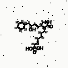 O=C1NC[C@H](/C=C/C(O)Cc2ccccc2)N1CCCCSCP(=O)(O)O